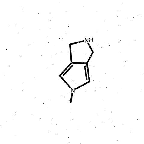 Cn1cc2c(c1)CNC2